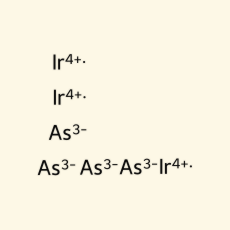 [As-3].[As-3].[As-3].[As-3].[Ir+4].[Ir+4].[Ir+4]